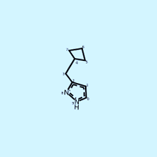 c1cc(CC2CCC2)n[nH]1